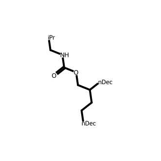 CCCCCCCCCCCCC(CCCCCCCCCC)COC(=O)NCC(C)C